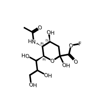 CC(=O)N[C@@H]1[C@@H](O)CC(O)(C(=O)OF)O[C@H]1C(O)C(O)CO